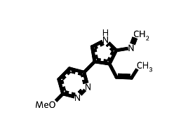 C=Nc1[nH]cc(-c2ccc(OC)nn2)c1/C=C\C